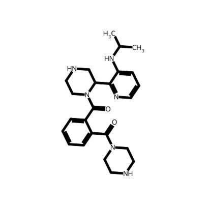 CC(C)Nc1cccnc1C1CNCCN1C(=O)c1ccccc1C(=O)N1CCNCC1